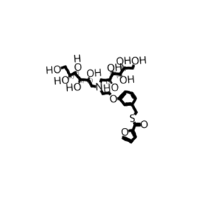 O=C(SCc1cccc(OCCN(C[C@H](O)[C@@H](O)[C@H](O)[C@H](O)CO)C[C@H](O)[C@@H](O)[C@H](O)[C@H](O)CO)c1)c1ccco1